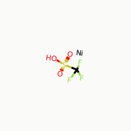 O=S(=O)(O)C(F)(F)F.[Ni]